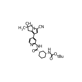 CC1(C)Cc2c(-c3ccnc(NC(=O)[C@H]4CCC[C@@H](NC(=O)OC(C)(C)C)C4)c3)cc(C#N)n2C1